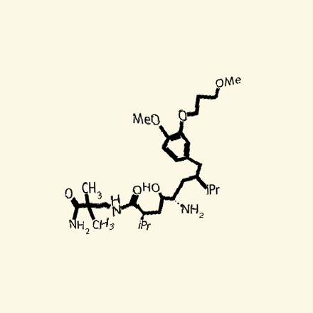 COCCCOc1cc(CC(C[C@H](N)C(O)C[C@H](C(=O)NCC(C)(C)C(N)=O)C(C)C)C(C)C)ccc1OC